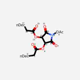 CCCCCCCCCCCC(=O)OC1C(=O)N(OC(C)=O)C(=O)C1OC(=O)CCCCCCCCCCC